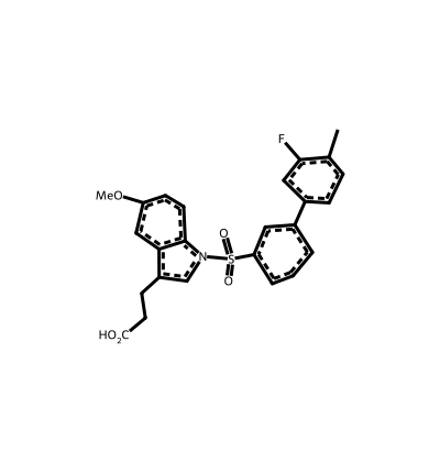 COc1ccc2c(c1)c(CCC(=O)O)cn2S(=O)(=O)c1cccc(-c2ccc(C)c(F)c2)c1